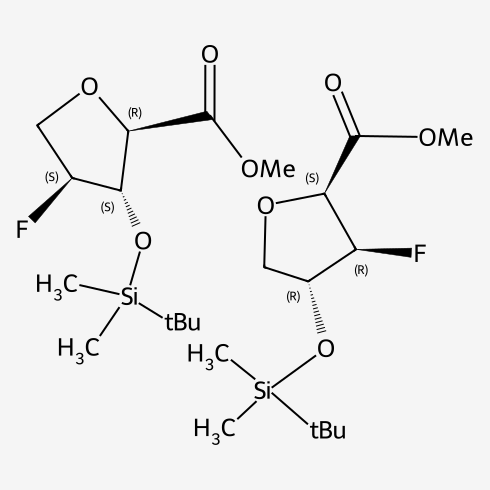 COC(=O)[C@@H]1OC[C@@H](O[Si](C)(C)C(C)(C)C)[C@@H]1F.COC(=O)[C@@H]1OC[C@H](F)[C@H]1O[Si](C)(C)C(C)(C)C